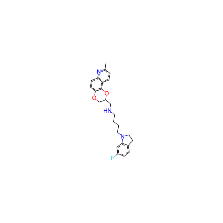 Cc1ccc2c3c(ccc2n1)OCC(CNCCCCN1CCc2ccc(F)cc21)O3